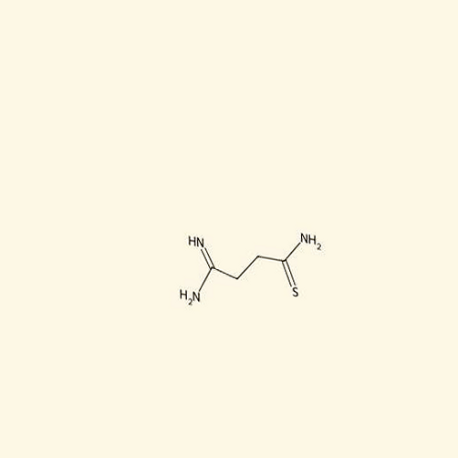 N=C(N)CCC(N)=S